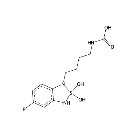 O=C(O)NCCCCN1c2ccc(F)cc2NS1(O)O